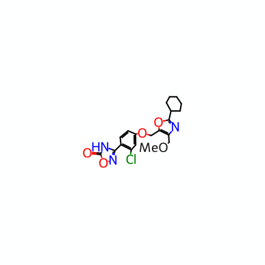 COCc1nc(C2CCCCC2)oc1COc1ccc(-c2noc(=O)[nH]2)c(Cl)c1